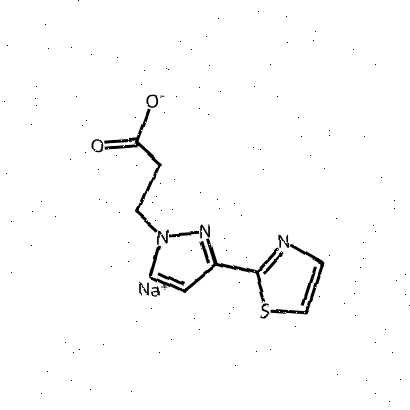 O=C([O-])CCn1ccc(-c2nccs2)n1.[Na+]